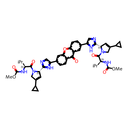 COC(=O)N[C@H](C(=O)N1CC(C2CC2)=C[C@H]1c1ncc(-c2ccc3c(=O)c4cc(-c5cnc([C@@H]6C=C(C7CC7)CN6C(=O)[C@@H](NC(=O)OC)C(C)C)[nH]5)ccc4oc3c2)[nH]1)C(C)C